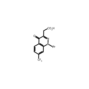 CC(C)n1nc(CC(=O)O)c(=O)c2ccc(C(F)(F)F)cc21